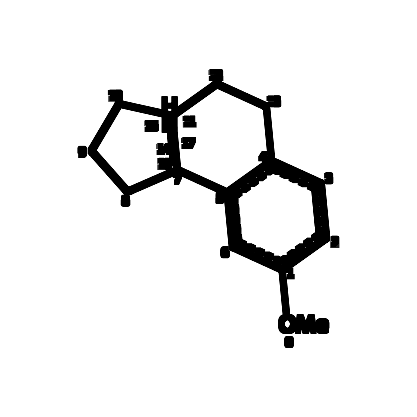 COc1ccc2c(c1)C13CCCC1(CC2)CNCC3